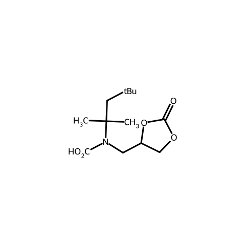 CC(C)(C)CC(C)(C)N(CC1COC(=O)O1)C(=O)O